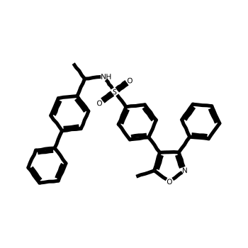 Cc1onc(-c2ccccc2)c1-c1ccc(S(=O)(=O)NC(C)c2ccc(-c3ccccc3)cc2)cc1